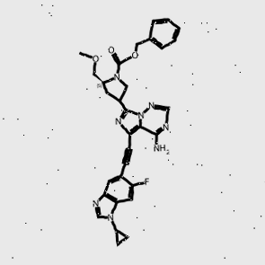 COC[C@@H]1CC(c2nc(C#Cc3cc4ncn(C5CC5)c4cc3F)c3c(N)ncnn23)CN1C(=O)OCc1ccccc1